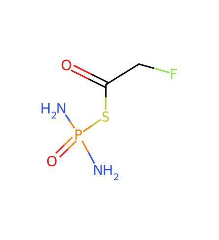 NP(N)(=O)SC(=O)CF